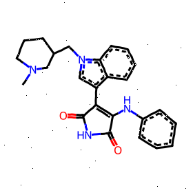 CN1CCCC(Cn2cc(C3=C(Nc4ccccc4)C(=O)NC3=O)c3ccccc32)C1